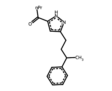 CCCC(=O)c1cc(CCC(C)c2ccccc2)n[nH]1